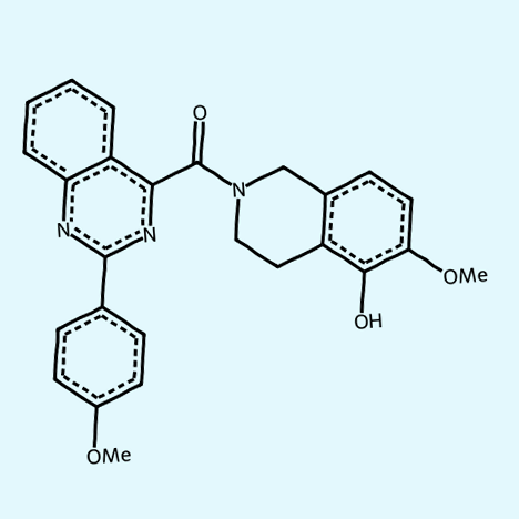 COc1ccc(-c2nc(C(=O)N3CCc4c(ccc(OC)c4O)C3)c3ccccc3n2)cc1